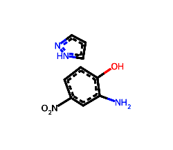 Nc1cc([N+](=O)[O-])ccc1O.c1cn[nH]c1